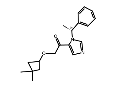 C[C@H](c1ccccc1)n1cncc1C(=O)COC1CC(C)(C)C1